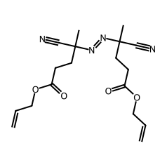 C=CCOC(=O)CCC(C)(C#N)N=NC(C)(C#N)CCC(=O)OCC=C